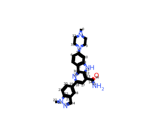 CN1CCN(c2ccc3c(c2)[nH]c2c(C(N)=O)cc(-c4ccc5c(cnn5C)c4)nc23)CC1